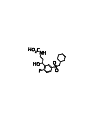 O=C(O)NCCC(O)c1cc(S(=O)(=O)CC2CCCCC2)ccc1F